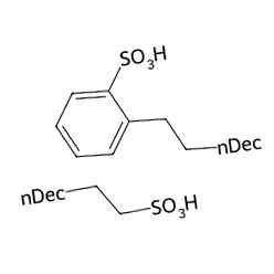 CCCCCCCCCCCCS(=O)(=O)O.CCCCCCCCCCCCc1ccccc1S(=O)(=O)O